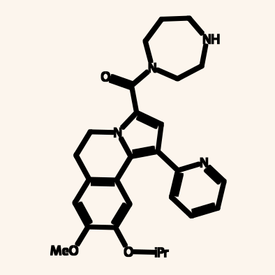 COc1cc2c(cc1OC(C)C)-c1c(-c3ccccn3)cc(C(=O)N3CCCNCC3)n1CC2